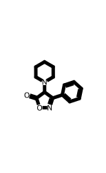 O=C1ON=C(c2ccccc2)C1N1CCCCC1